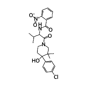 CC(C)C(NC(=O)c1ccccc1[N+](=O)[O-])C(=O)N1CCC(O)(c2ccc(Cl)cc2)C(C)(C)C1